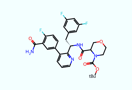 CC(C)(C)OC(=O)N1CCOCC1C(=O)N[C@@H](Cc1cc(F)cc(F)c1)c1ncccc1-c1ccc(F)c(C(N)=O)c1